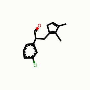 CC1=CCC(CC(C=O)c2cccc(Cl)c2)=C1C